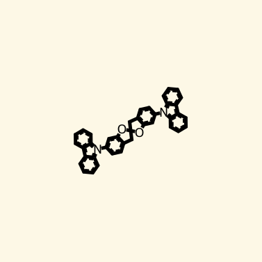 c1ccc2c(c1)c1ccccc1n2-c1ccc2c(c1)OC1(C2)Cc2ccc(-n3c4ccccc4c4ccccc43)cc2O1